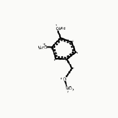 COc1ccc(CO[N+](=O)[O-])cc1OC